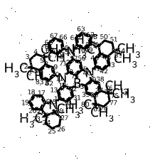 CC1(C)CCC(C)(C)c2cc(N3c4cc(N5c6ccccc6C6(C)CCCCC56C)ccc4B4c5cc6c(cc5N(c5ccc7c(c5)C(C)(C)CCC7(C)C)c5cc(N(c7ccccc7)c7ccccc7)cc3c54)C(C)(C)CCC6(C)C)ccc21